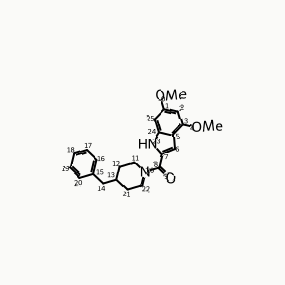 COc1cc(OC)c2cc(C(=O)N3CCC(Cc4ccccc4)CC3)[nH]c2c1